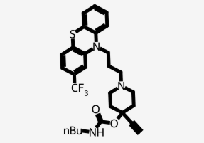 C#CC1(OC(=O)NCCCC)CCN(CCCN2c3ccccc3Sc3ccc(C(F)(F)F)cc32)CC1